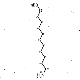 CCCCOCCCCCCCCCCN